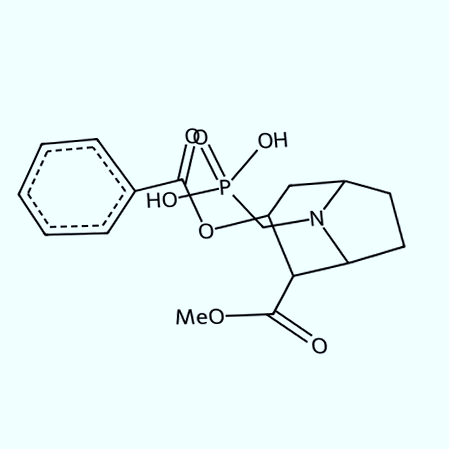 COC(=O)C1C(OC(=O)c2ccccc2)CC2CCC1N2CP(=O)(O)O